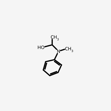 CC(O)N(C)c1ccccc1